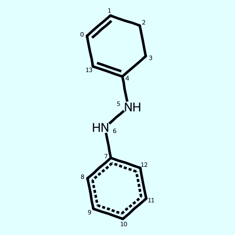 C1=CCCC(NNc2ccccc2)=C1